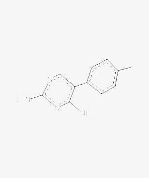 Cc1ccc(-c2cnc(N)nc2N)cc1